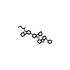 C/C=C\C=C(/C)n1c2ccccc2c2cc(-c3ccc4c(c3)c3ccccc3n4-c3cccc4sc5c(-c6ccccc6)cccc5c34)ccc21